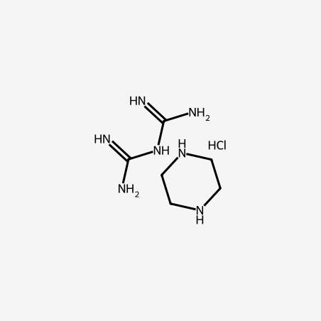 C1CNCCN1.Cl.N=C(N)NC(=N)N